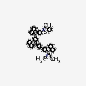 C=C/C=C(\Sc1ccccc1)c1ccc(N(c2ccc(N(c3ccc(-c4ccc(N(/C(=C/C=C)CCC)c5cccc6ccccc56)cc4)cc3)c3cccc4ccccc34)cc2)c2cccc3ccccc23)cc1